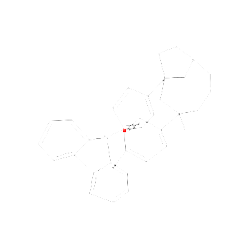 Cc1ccc(C2(C)CCCC3CCC(c4ccc(-n5c6ccccc6c6ccccc65)cc4)(C3)C2)cc1